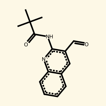 CC(C)(C)C(=O)Nc1nc2ccccc2cc1C=O